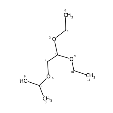 CCOC(COC(C)O)OCC